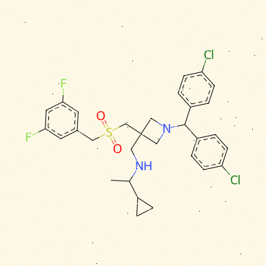 CC(NCC1(CS(=O)(=O)Cc2cc(F)cc(F)c2)CN(C(c2ccc(Cl)cc2)c2ccc(Cl)cc2)C1)C1CC1